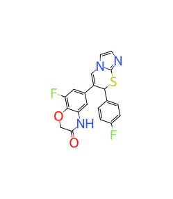 O=C1COc2c(F)cc(C3=Cn4ccnc4SC3c3ccc(F)cc3)cc2N1